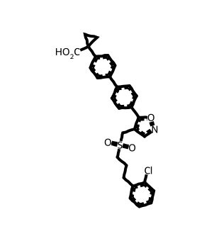 O=C(O)C1(c2ccc(-c3ccc(-c4oncc4CS(=O)(=O)CCCc4ccccc4Cl)cc3)cc2)CC1